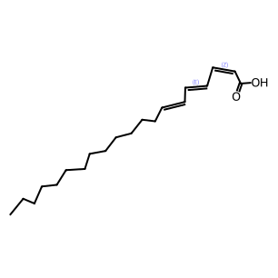 CCCCCCCCCCCCCC=C/C=C/C=C\C(=O)O